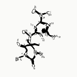 CC1(C)C(=O)N(Br)C(=O)N1Br.Nc1nc(NCl)nc(N(Cl)Cl)n1